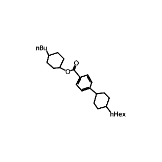 CCCCCCC1CCC(c2ccc(C(=O)OC3CCC(CCCC)CC3)cc2)CC1